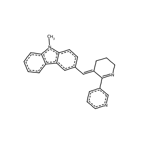 Cn1c2ccccc2c2cc(/C=C3\CCCN=C3c3cccnc3)ccc21